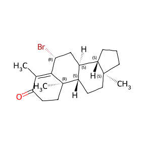 CC1=C2[C@H](Br)C[C@H]3[C@@H]4CCC[C@@]4(C)CC[C@@H]3[C@@]2(C)CCC1=O